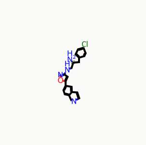 N[C@H](CNc1cc(-c2ccc3cnccc3c2)on1)Cc1ccc(Cl)cc1